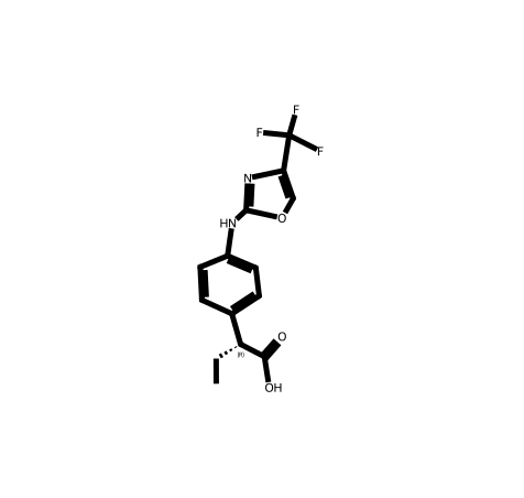 CC[C@@H](C(=O)O)c1ccc(Nc2nc(C(F)(F)F)co2)cc1